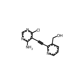 Nc1ncnc(Cl)c1C#Cc1ncccc1CO